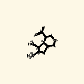 CC(=O)C1COCC2CC(N)C(O)N21